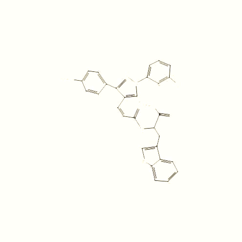 COC(=O)C(Cc1c[nH]c2ccccc12)NC(=O)/C=C\c1cn(-c2cccc(Cl)c2)nc1-c1ccc(OC)cc1